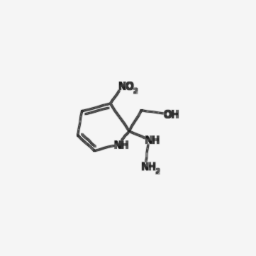 NNC1(CO)NC=CC=C1[N+](=O)[O-]